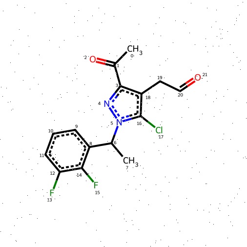 CC(=O)c1nn(C(C)c2cccc(F)c2F)c(Cl)c1CC=O